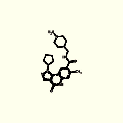 Cc1cc2[nH]c(=O)c3cnn(C4CCCC4)c3c2cc1C(=O)NCC1CCN(C)CC1